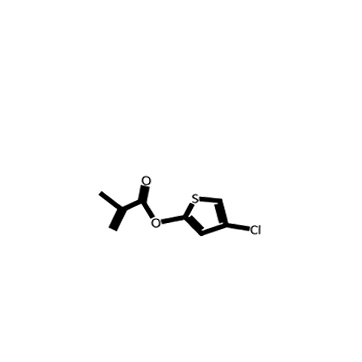 C=C(C)C(=O)Oc1cc(Cl)cs1